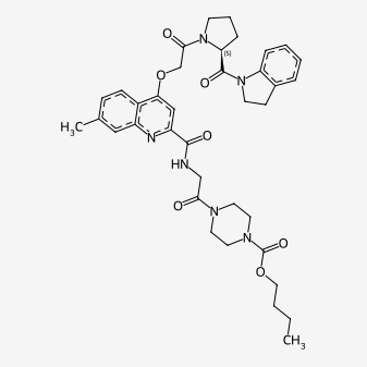 CCCCOC(=O)N1CCN(C(=O)CNC(=O)c2cc(OCC(=O)N3CCC[C@H]3C(=O)N3CCc4ccccc43)c3ccc(C)cc3n2)CC1